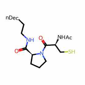 CCCCCCCCCCCCNC(=O)[C@@H]1CCCN1C(=O)[C@H](CS)NC(C)=O